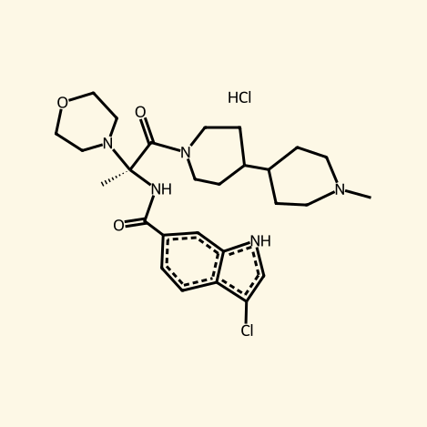 CN1CCC(C2CCN(C(=O)[C@@](C)(NC(=O)c3ccc4c(Cl)c[nH]c4c3)N3CCOCC3)CC2)CC1.Cl